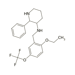 CCOc1ccc(OC(F)(F)F)cc1CNC1CCCNC1c1ccccc1